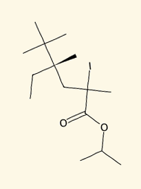 CC[C@@](C)(CC(C)(I)C(=O)OC(C)C)C(C)(C)C